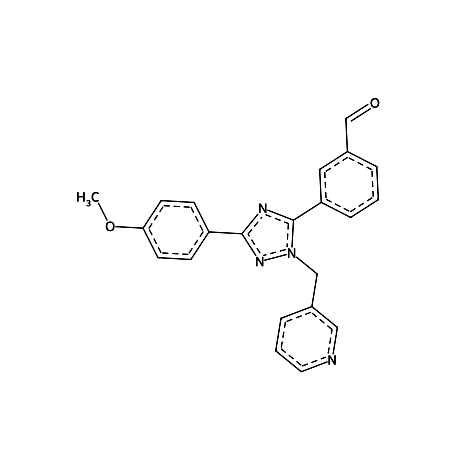 COc1ccc(-c2nc(-c3cccc(C=O)c3)n(Cc3cccnc3)n2)cc1